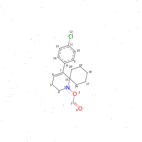 O=CON1CCC=C(c2ccc(Cl)cc2)C12CCCCC2